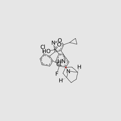 O=C(O)c1ccc(N2[C@@H]3CC[C@H]2C[C@H](NCc2c(-c4c(Cl)cccc4Cl)noc2C2CC2)C3)c(F)c1